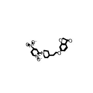 O=C1COc2cc(OCCC3CCN(c4cc([N+](=O)[O-])cc[n+]4[O-])CC3)ccc21